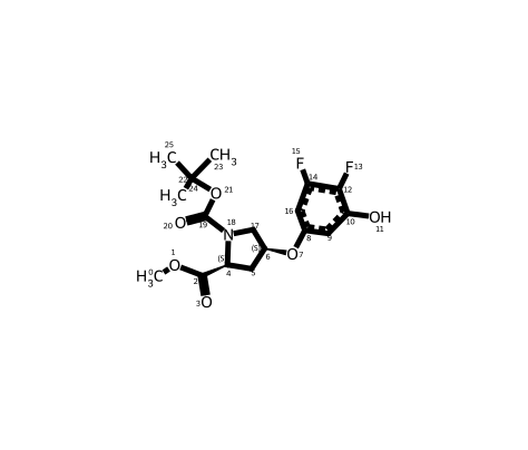 COC(=O)[C@@H]1C[C@H](Oc2cc(O)c(F)c(F)c2)CN1C(=O)OC(C)(C)C